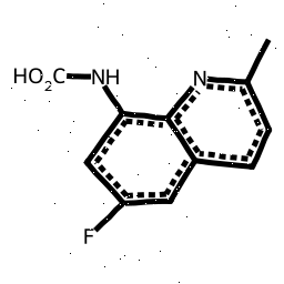 Cc1ccc2cc(F)cc(NC(=O)O)c2n1